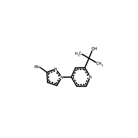 CC(C)(C)c1ccn(-c2ccnc(C(C)(C)O)c2)n1